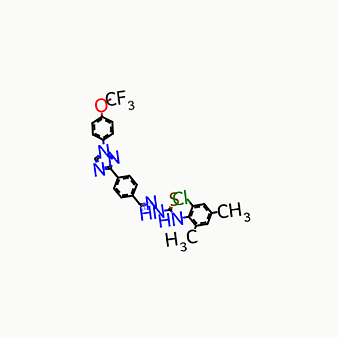 Cc1cc(C)c(NC(=S)N/N=C/c2ccc(-c3ncn(-c4ccc(OC(F)(F)F)cc4)n3)cc2)c(Cl)c1